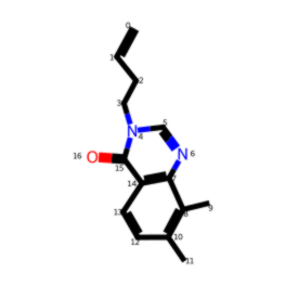 C=CCCn1cnc2c(C)c(C)ccc2c1=O